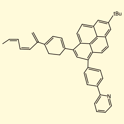 C=C(/C=C\C=C/C)C1=CC=C(c2cc(-c3ccc(-c4ccccn4)cc3)c3ccc4cc(C(C)(C)C)cc5ccc2c3c54)CC1